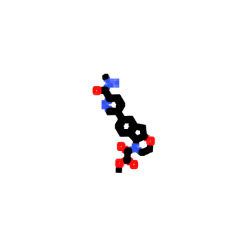 CNC(=O)c1ccc(-c2ccc3c(c2)CC2OCCN(C(=O)C(=O)OC)C32)cn1